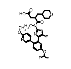 COc1ccc(-c2ccc(OC(F)F)cc2-c2nc(N(C)C(=O)C(CC(=O)O)CC3CCOCC3)sc2F)cn1